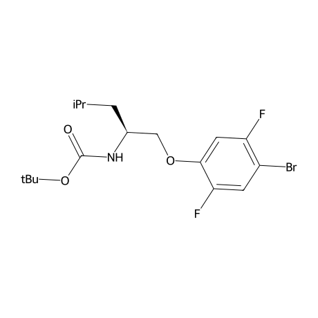 CC(C)C[C@@H](COc1cc(F)c(Br)cc1F)NC(=O)OC(C)(C)C